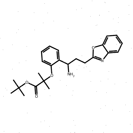 CC(C)(C)OC(=O)C(C)(C)Oc1ccccc1C(N)CCc1nc2ccccc2o1